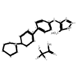 O=C(O)C(F)(F)F.O=C(O)c1[nH]nnc1Oc1ccc(C2CCC(N3CCCCC3)CC2)cc1